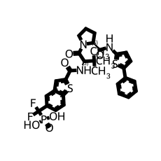 CC(C)(C)[C@H](NC(=O)c1cc2cc(C(F)(F)P(=O)(O)O)ccc2s1)C(=O)N1CCC[C@H]1C(=O)Nc1ccc(-c2ccccc2)s1